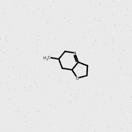 CC1CN=C2CCOC2C1